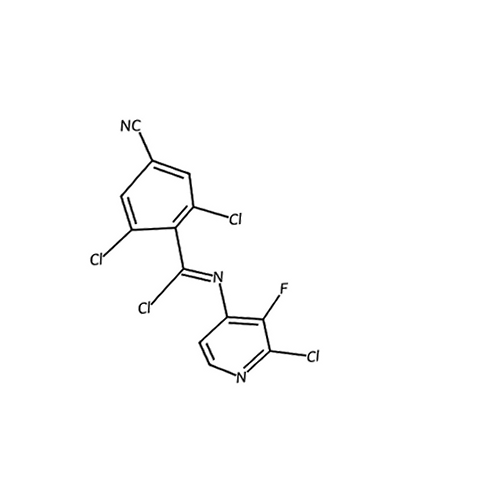 N#Cc1cc(Cl)c(/C(Cl)=N/c2ccnc(Cl)c2F)c(Cl)c1